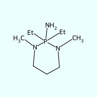 CCP1(N)(CC)N(C)CCCN1C